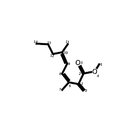 C=C(C(=O)OC)/C(C)=C\C=C(\C)CCC